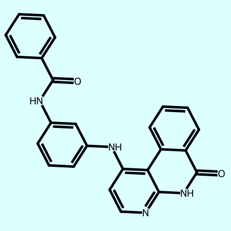 O=C(Nc1cccc(Nc2ccnc3[nH]c(=O)c4ccccc4c23)c1)c1ccccc1